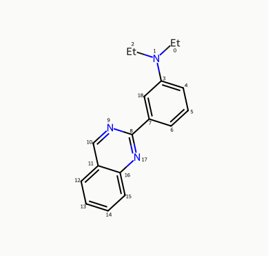 CCN(CC)c1cccc(-c2ncc3ccccc3n2)c1